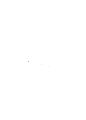 Nc1ccn([C@@H]2O[C@H](CN3Cc4nccnc4C3)CC2(F)F)c(=O)n1